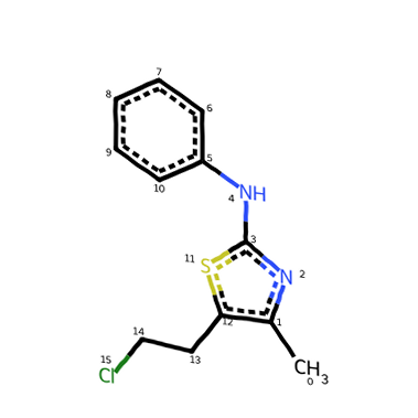 Cc1nc(Nc2ccccc2)sc1CCCl